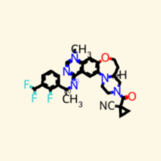 C[C@@H](/N=c1\ncn(C)c2cc3c(cc12)N1CCN(C(=O)C2(C#N)CC2)C[C@@H]1CCO3)c1cccc(C(F)F)c1F